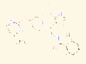 COc1ccnc(OC2CCN(C(CNC(=O)c3c(F)cccc3Cl)c3scnc3C(F)F)CC2)n1